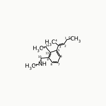 CC/C=C(\C)c1cccc(CNC)c1CC